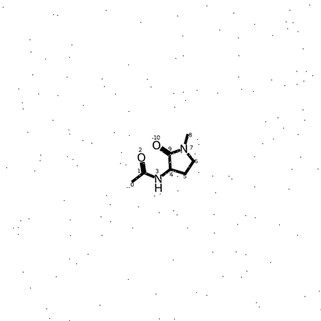 CC(=O)NC1CCN(C)C1=O